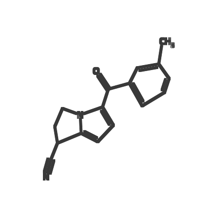 Cc1cccc(C(=O)c2ccc3n2CCC3C#N)c1